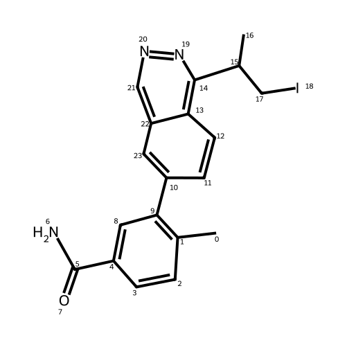 Cc1ccc(C(N)=O)cc1-c1ccc2c(C(C)CI)nncc2c1